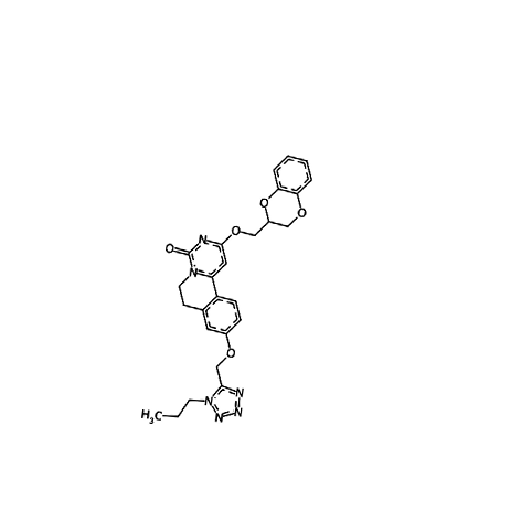 CCCn1nnnc1COc1ccc2c(c1)CCn1c-2cc(OCC2COc3ccccc3O2)nc1=O